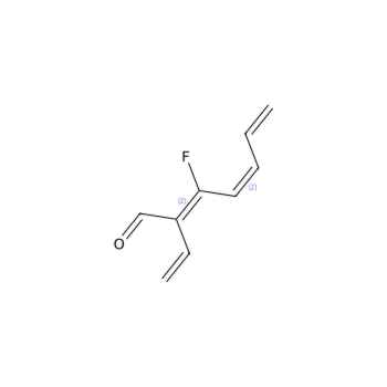 C=C/C=C\C(F)=C(/C=C)C=O